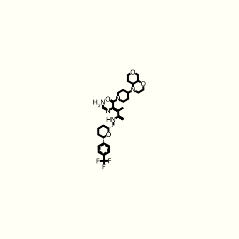 C=C(NC[C@H]1CCC[C@@H](c2ccc(C(F)(F)F)cc2)O1)/C(C)=C(\N=C/N)C(=O)N1CCC(N2CCOC3COCCC32)CC1